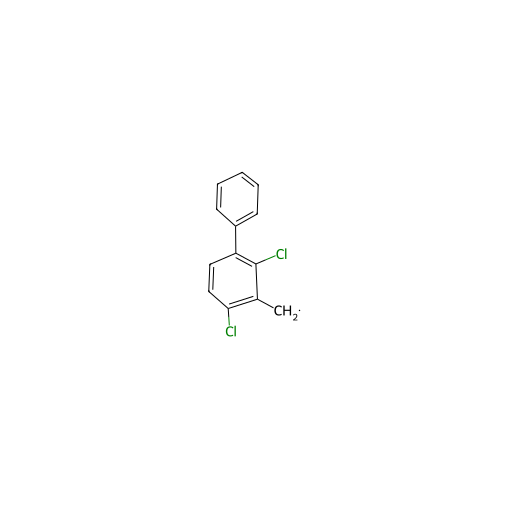 [CH2]c1c(Cl)ccc(-c2ccccc2)c1Cl